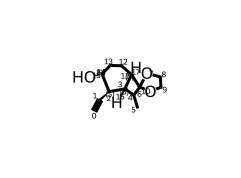 C#C[C@@H]1[C@H]2C(C)C3(OCCO3)[C@H]2CC[C@H]1O